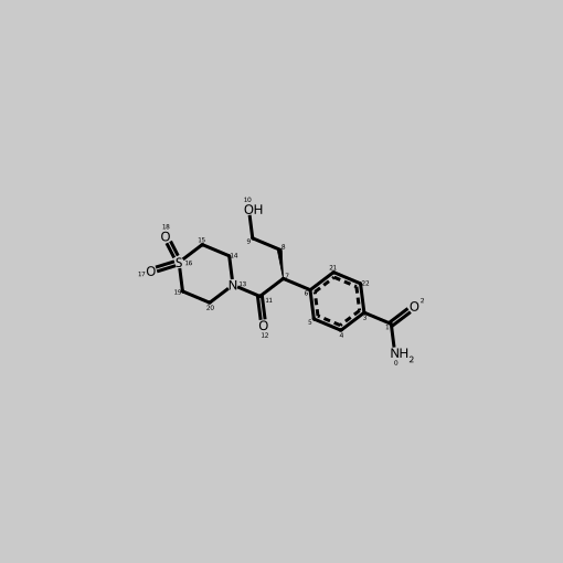 NC(=O)c1ccc([C@H](CCO)C(=O)N2CCS(=O)(=O)CC2)cc1